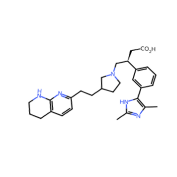 Cc1nc(C)c(-c2cccc([C@H](CC(=O)O)CN3CCC(CCc4ccc5c(n4)NCCC5)C3)c2)[nH]1